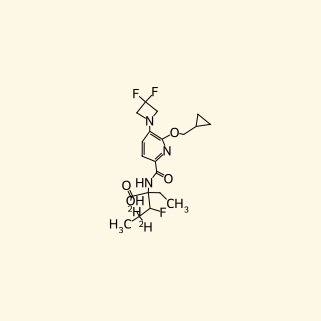 [2H]C([2H])(C)C(F)C(CC)(NC(=O)c1ccc(N2CC(F)(F)C2)c(OCC2CC2)n1)C(=O)O